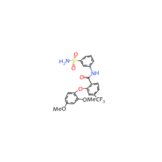 COc1ccc(Oc2cc(C(F)(F)F)ccc2C(=O)Nc2cccc(S(N)(=O)=O)c2)c(OC)c1